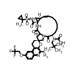 Cc1nc2ccc(OCC(F)(F)F)cc2c2c1O[C@]1(CC2)C[C@H]2C(=O)N[C@]3(C(=O)NS(=O)(=O)C4(C)CC4)C[C@H]3/C=C\CCCCC[C@H](N(CC(C)(C)C)C(=O)O)C(=O)N2C1